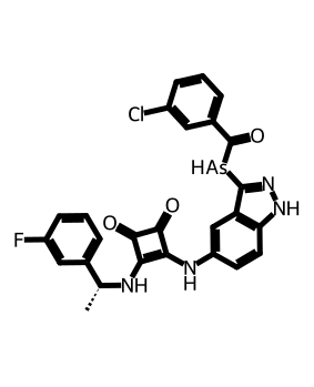 C[C@@H](Nc1c(Nc2ccc3[nH]nc([AsH]C(=O)c4cccc(Cl)c4)c3c2)c(=O)c1=O)c1cccc(F)c1